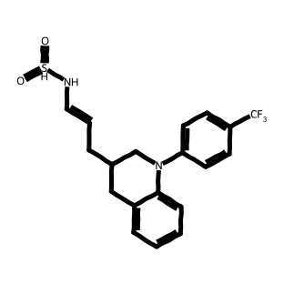 O=[SH](=O)NC=CCC1Cc2ccccc2N(c2ccc(C(F)(F)F)cc2)C1